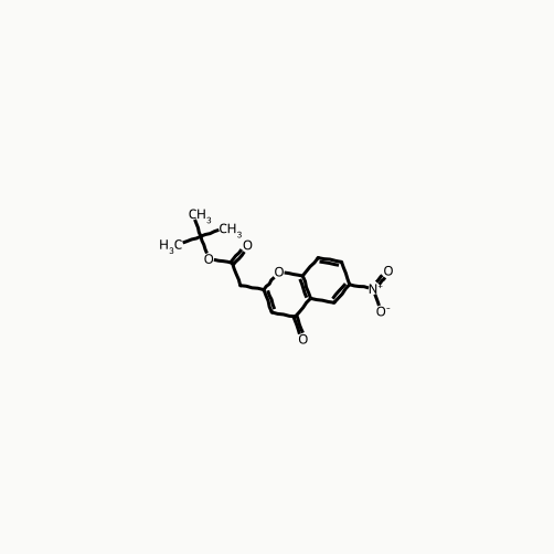 CC(C)(C)OC(=O)Cc1cc(=O)c2cc([N+](=O)[O-])ccc2o1